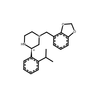 CC(C)c1ccccc1[C@@H]1CN(Cc2cccc3c2OCO3)CCN1